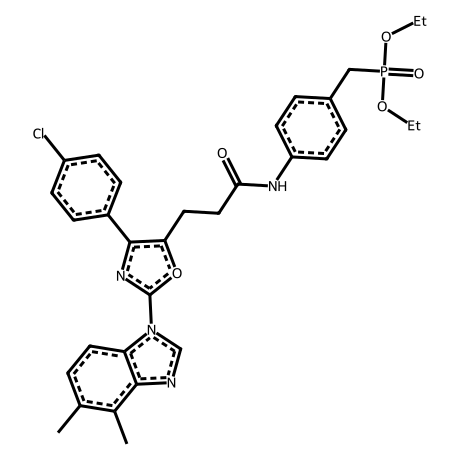 CCOP(=O)(Cc1ccc(NC(=O)CCc2oc(-n3cnc4c(C)c(C)ccc43)nc2-c2ccc(Cl)cc2)cc1)OCC